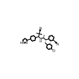 C[C@H](NC(c1ccc(-c2cc[nH]n2)cc1)C(C)(C)C#N)[C@@H](Cc1ccc(Cl)cc1)c1cccc(C#N)c1